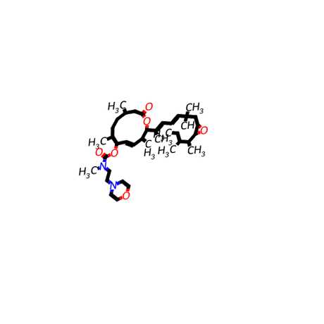 CCC(C)C(C)C1OC1CC(C)(C)/C=C/C=C(\C)C1OC(=O)CC(C)CCC(C)C(OC(=O)N(C)CCN2CCOCC2)/C=C/C1C